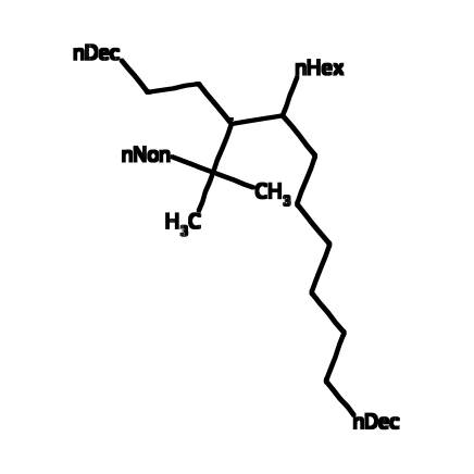 CCCCCCCCCCCCCCCCC(CCCCCC)[C](CCCCCCCCCCCC)C(C)(C)CCCCCCCCC